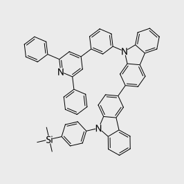 C[Si](C)(C)c1ccc(-n2c3ccccc3c3cc(-c4ccc5c6ccccc6n(-c6cccc(-c7cc(-c8ccccc8)nc(-c8ccccc8)c7)c6)c5c4)ccc32)cc1